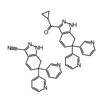 N#Cc1n[nH]c2c1C=CC(c1cccnc1)(c1cccnc1)C2.O=C(c1n[nH]c2c1C=CC(c1cccnc1)(c1cccnc1)C2)C1CC1